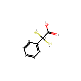 O=C(O)C(S)(S)c1ccccc1